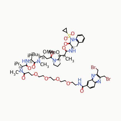 CC[C@H](C)[C@@H]([C@@H](CC(=O)N1CCC[C@H]1[C@H](OC)[C@@H](C)C(=O)N[C@@H](Cc1ccccc1)C(=O)NS(=O)(=O)C1CC1)OC)N(C)C(=O)[C@@H](NC(=O)[C@H](C(C)C)N(C)C(=O)CCOCCOCCOCCOCCNC(=O)c1ccc2nc(CBr)c(CBr)nc2c1)C(C)C